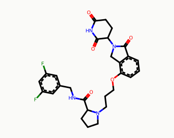 O=C1CCC(N2Cc3c(OCCCN4CCCC4C(=O)NCc4cc(F)cc(F)c4)cccc3C2=O)C(=O)N1